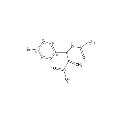 C=C(C(=O)O)C(OC(C)=O)c1ccc(Br)cc1